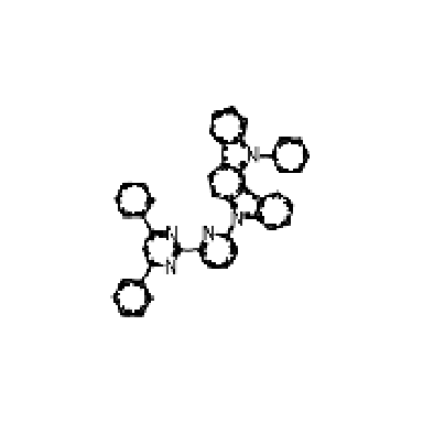 c1ccc(-c2cc(-c3ccccc3)nc(-c3cccc(-n4c5ccccc5c5c4ccc4c6ccccc6n(-c6ccccc6)c45)n3)n2)cc1